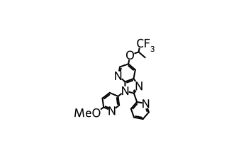 COc1ccc(-n2c(-c3ccccn3)nc3cc(OC(C)C(F)(F)F)cnc32)cn1